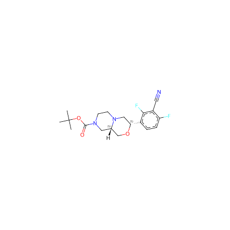 CC(C)(C)OC(=O)N1CCN2C[C@H](c3ccc(F)c(C#N)c3F)OC[C@@H]2C1